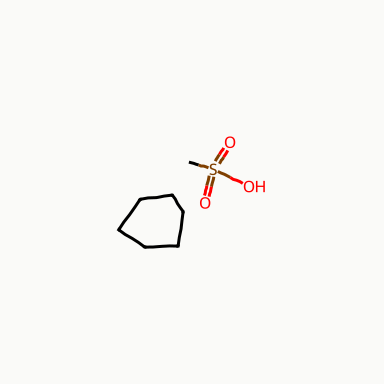 C1CCCCC1.CS(=O)(=O)O